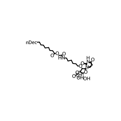 CCCCCCCCCCCCCCCCCC(=O)OCC(=O)NCCCCCCOC1[C@@H](O[PH](=O)O)[C@@H](CO)O[C@H]1n1ccc(=O)[nH]c1=O